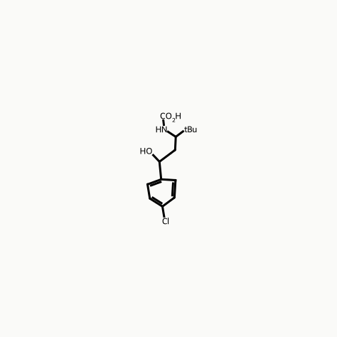 CC(C)(C)C(CC(O)c1ccc(Cl)cc1)NC(=O)O